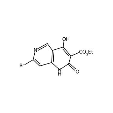 CCOC(=O)c1c(O)c2cnc(Br)cc2[nH]c1=O